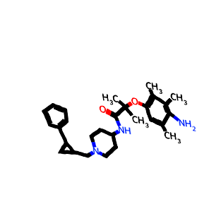 Cc1cc(OC(C)(C)C(=O)NC2CCN(CC3CC3c3ccccc3)CC2)c(C)c(C)c1N